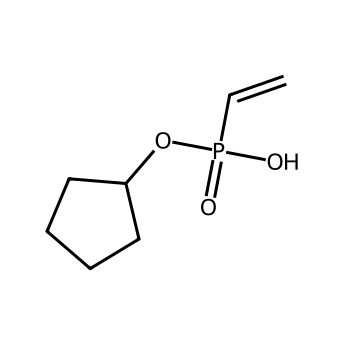 C=CP(=O)(O)OC1CCCC1